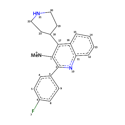 CNc1c(-c2ccc(F)cc2)nc2ccccc2c1C1CCNCC1